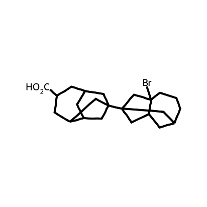 O=C(O)C1CC2CC3CC(C45CC6CCCC(Br)(C4)C(C6)C5)(C2)CC3C1